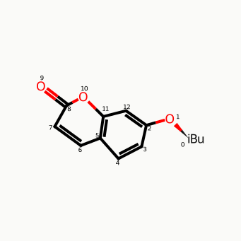 CC[C@H](C)Oc1ccc2ccc(=O)oc2c1